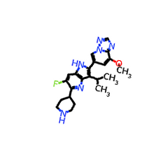 COc1cc(-c2[nH]c3cc(F)c(C4CCNCC4)nc3c2C(C)C)cn2ncnc12